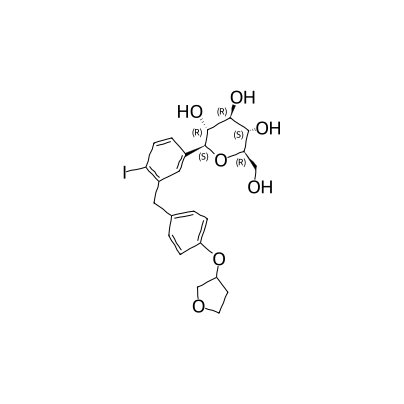 OC[C@H]1O[C@@H](c2ccc(I)c(Cc3ccc(OC4CCOC4)cc3)c2)[C@H](O)[C@@H](O)[C@@H]1O